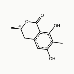 Cc1c(O)cc2c(c1O)C(=O)O[C@H](C)C2